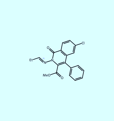 CC/C=N/n1c(C(=O)OC)c(-c2ccccc2)c2cc(Cl)ccc2c1=O